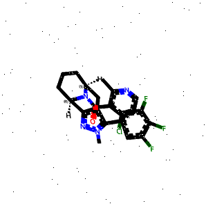 Cc1nccc(Cl)c1C(=O)N1[C@H]2CCC[C@@H]1c1nn(C)c(-c3cc(F)c(F)c(F)c3)c1C2